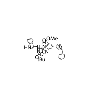 COC(=O)c1cc(-c2cnn(Cc3ccccc3)c2)ccc1N[C@@H](C#N)[C@H](Cc1c[nH]c2ccccc12)NC(=O)OC(C)(C)C